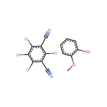 COc1ccccc1O.N#Cc1c(Cl)c(Cl)c(Cl)c(C#N)c1Cl